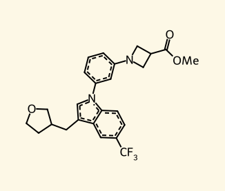 COC(=O)C1CN(c2cccc(-n3cc(CC4CCOC4)c4cc(C(F)(F)F)ccc43)c2)C1